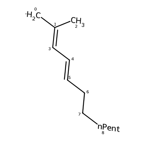 [CH2]C(C)=CC=CCCCCCCC